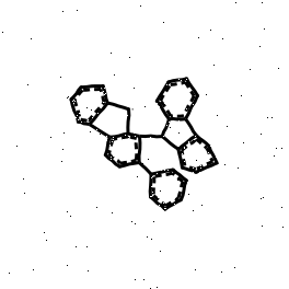 [CH]1c2ccccc2-c2ccc(-c3ccccc3)c(C3c4ccccc4-c4ccccc43)c21